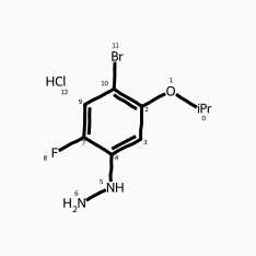 CC(C)Oc1cc(NN)c(F)cc1Br.Cl